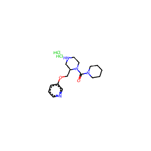 Cl.Cl.O=C(N1CCCCC1)N1CCNCC1COc1cccnc1